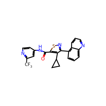 O=C(Nc1ccnc(C(F)(F)F)c1)c1snc(-c2cccc3ncccc23)c1C1CC1